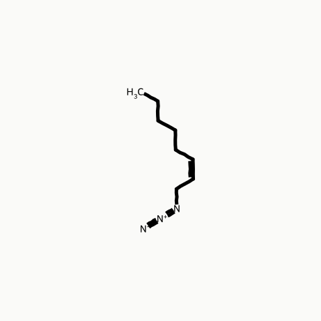 CCCCC/C=C\CN=[N+]=[N-]